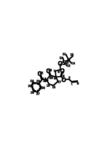 C=CCOC(=O)C1(CCO[Si](C)(C)C(C)(C)C)CCCN(C(=O)c2ccccc2)C1=O